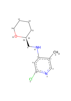 Cc1cnc(Cl)cc1NC[C@@H]1CCCCO1